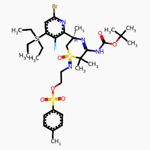 CC[Si](CC)(CC)c1cc(Br)nc([C@]2(C)CS(=O)(=NCCOS(=O)(=O)c3ccc(C)cc3)C(C)(C)C(NC(=O)OC(C)(C)C)=N2)c1F